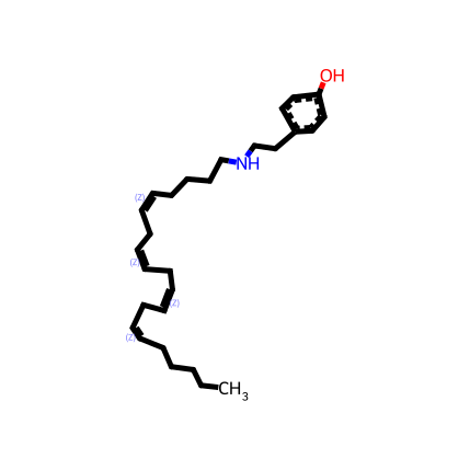 CCCCC/C=C\C/C=C\C/C=C\C/C=C\CCCCNCCc1ccc(O)cc1